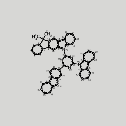 CC1(C)c2ccccc2-c2cc3c(cc21)c1ccccc1n3-c1nc(-c2ccc3c(c2)sc2ccccc23)nc(-n2c3ccccc3c3ccccc32)n1